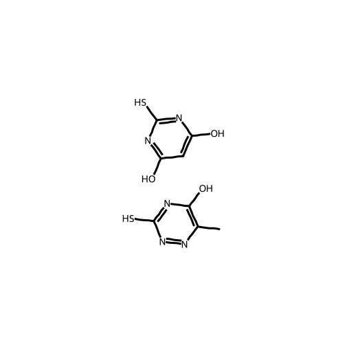 Cc1nnc(S)nc1O.Oc1cc(O)nc(S)n1